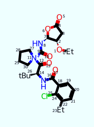 CCO[C@H]1CC(=O)O[C@H]1NC(=O)[N+]1(C(=O)[C@@H](NC(=O)c2cccc(CC)c2Cl)C(C)(C)C)CCCC1